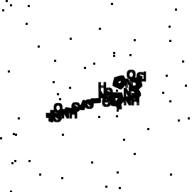 Cc1cc(S(=O)(=O)NCCOCCOCCNC(=O)OC(C)(C)C)ccc1Nc1ncc2cc(Cl)c(=O)n(C3CCCC3)c2n1